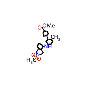 COC(=O)c1ccc(-c2cc(Nc3cccc4c3CCN(S(C)(=O)=O)C4)ccc2C)cc1